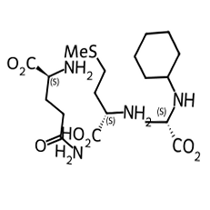 CSCC[C@H](N)C(=O)O.C[C@H](NC1CCCCC1)C(=O)O.NC(=O)CC[C@H](N)C(=O)O